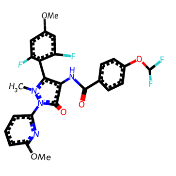 COc1cc(F)c(-c2c(NC(=O)c3ccc(OC(F)F)cc3)c(=O)n(-c3cccc(OC)n3)n2C)c(F)c1